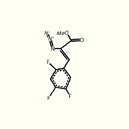 COC(=O)/C(=C/c1cc(F)c(F)cc1F)N=[N+]=[N-]